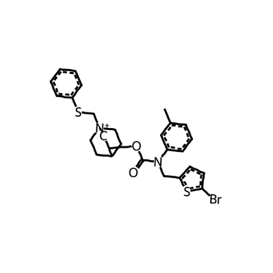 Cc1cccc(N(Cc2ccc(Br)s2)C(=O)OC2C[N+]3(CSc4ccccc4)CCC2CC3)c1